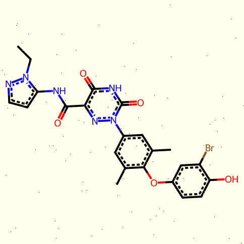 CCn1nccc1NC(=O)c1nn(-c2cc(C)c(Oc3ccc(O)c(Br)c3)c(C)c2)c(=O)[nH]c1=O